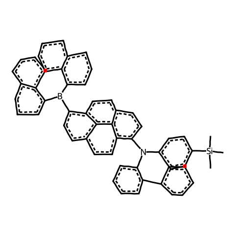 C[Si](C)(C)c1ccc(N(c2ccccc2-c2ccccc2)c2ccc3ccc4c(B(c5cccc6ccccc56)c5cccc6ccccc56)ccc5ccc2c3c54)cc1